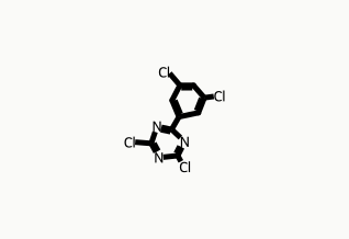 Clc1cc(Cl)cc(-c2nc(Cl)nc(Cl)n2)c1